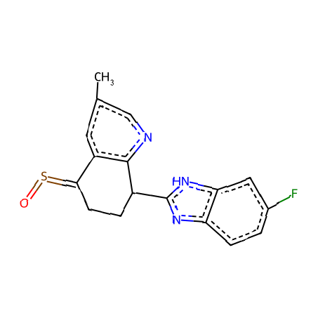 Cc1cnc2c(c1)C(=S=O)CCC2c1nc2ccc(F)cc2[nH]1